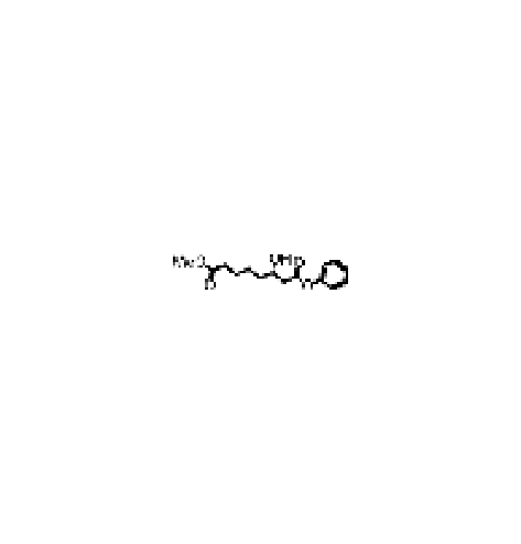 COC(=O)CCCC[C@H](O)CC(=O)Oc1ccccc1